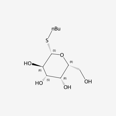 CCCCS[C@@H]1O[C@H](CO)[C@H](O)[C@H](O)[C@H]1O